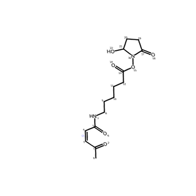 CC(=O)/C=C\C(=O)NCCCCCC(=O)ON1C(=O)CCC1O